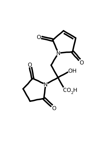 O=C1C=CC(=O)N1CC(O)(C(=O)O)N1C(=O)CCC1=O